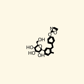 Cc1ccc([C@@H]2O[C@H](CO)[C@@H](O)C(O)[C@H]2O)cc1Cc1ccc(Oc2ncco2)cc1